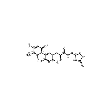 CCC(Sc1cc(-n2c(=O)cc(C(F)(F)F)n(C)c2=O)c(F)cc1Cl)C(=O)OCC1CCC(=O)O1